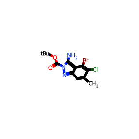 Cc1cc2nn(C(=O)OC(C)(C)C)c(N)c2c(Br)c1Cl